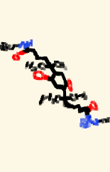 CCCCNC(=O)CCCC(C)(C)C1=CC(=O)C(C(C)(C)CCCC(=O)NCCCC)=CC1=O